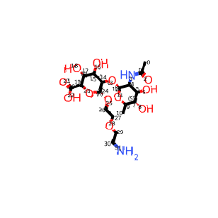 CC(=O)NC1C(O)[C@H](O)C(C)O[C@H]1OC1C(O)[C@H](O)C(C(=O)O)O[C@H]1OCCOCCN